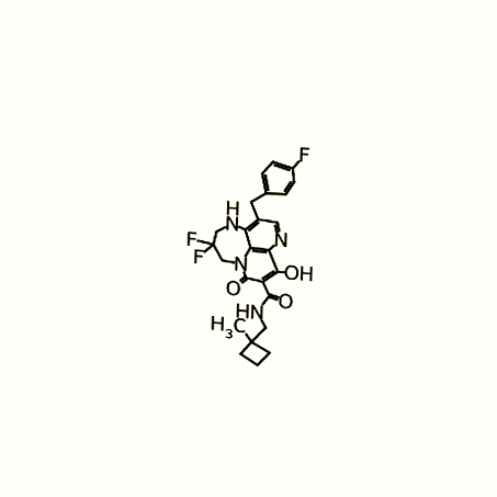 CC1(CNC(=O)c2c(O)c3ncc(Cc4ccc(F)cc4)c4c3n(c2=O)CC(F)(F)CN4)CCC1